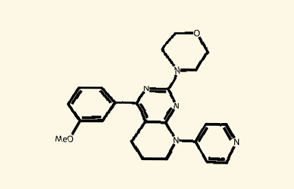 COc1cccc(-c2nc(N3CCOCC3)nc3c2CCCN3c2ccncc2)c1